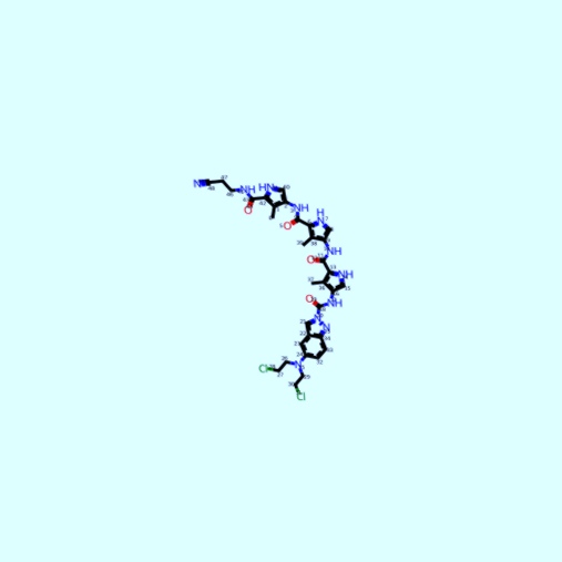 Cc1c(NC(=O)c2[nH]cc(NC(=O)c3[nH]cc(NC(=O)n4cc5cc(N(CCCl)CCCl)ccc5n4)c3C)c2C)c[nH]c1C(=O)NCCC#N